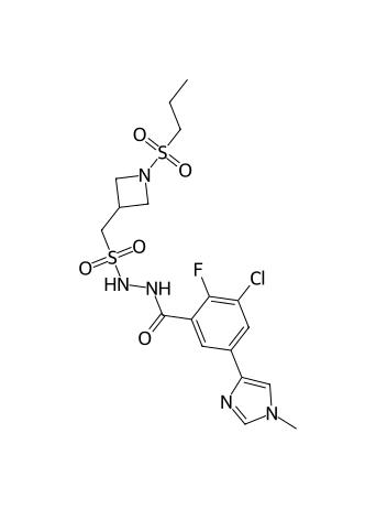 CCCS(=O)(=O)N1CC(CS(=O)(=O)NNC(=O)c2cc(-c3cn(C)cn3)cc(Cl)c2F)C1